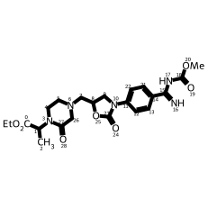 CCOC(=O)C(C)N1CCN(CC2CN(c3ccc(C(=N)NC(=O)OC)cc3)C(=O)O2)CC1=O